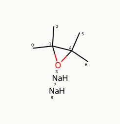 CC1(C)OC1(C)C.[NaH].[NaH]